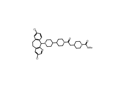 CNC(=O)N1CCC(CC(=O)N2CCC(C3CCN(C4c5ccc(Cl)cc5CCc5cc(Cl)cnc54)CC3)CC2)CC1